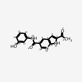 CC(=O)c1cc2cc(C(=O)Nc3cccc(O)c3)cnc2[nH]1